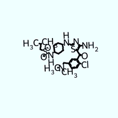 CC(C)CS(=O)(=O)N[C@H]1CC[C@H](Nc2nc(N)c(C(=O)c3cc(CN(C)C)ccc3Cl)s2)CC1